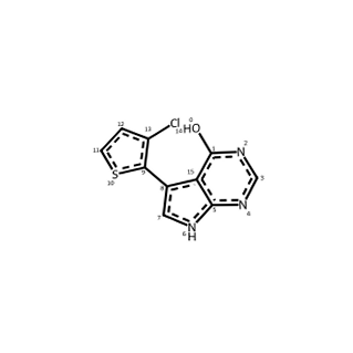 Oc1ncnc2[nH]cc(-c3sccc3Cl)c12